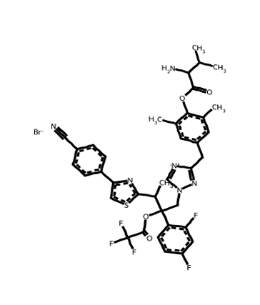 Cc1cc(CC2=NN(CC(OC(=O)C(F)(F)F)(c3ccc(F)cc3F)C(C)c3nc(-c4ccc(C#N)cc4)cs3)C=[N+]2)cc(C)c1OC(=O)C(N)C(C)C.[Br-]